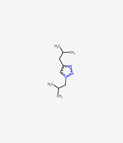 CC(C)Cc1cn(CC(C)C)nn1